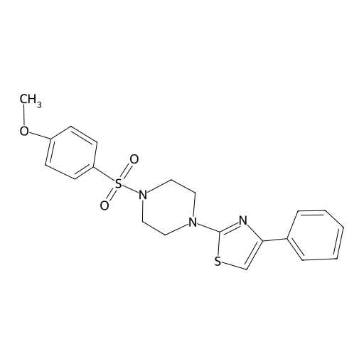 COc1ccc(S(=O)(=O)N2CCN(c3nc(-c4ccccc4)cs3)CC2)cc1